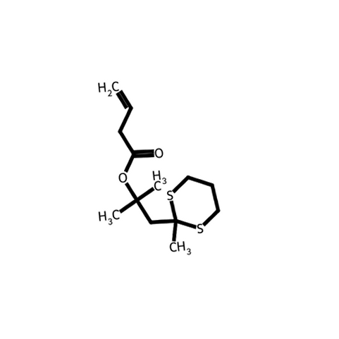 C=CCC(=O)OC(C)(C)CC1(C)SCCCS1